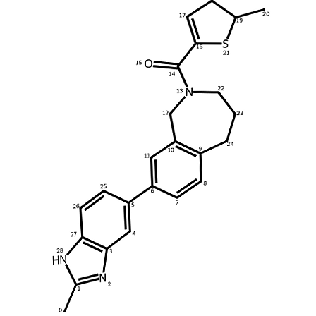 Cc1nc2cc(-c3ccc4c(c3)CN(C(=O)C3=CCC(C)S3)CCC4)ccc2[nH]1